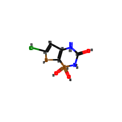 O=C1[N]S(=O)(=O)c2sc(Cl)cc2N1